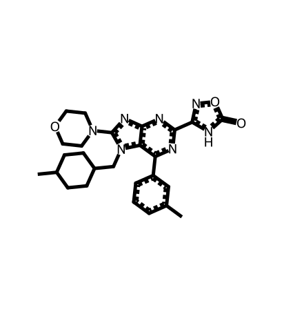 Cc1cccc(-c2nc(-c3noc(=O)[nH]3)nc3nc(N4CCOCC4)n(CC4CCC(C)CC4)c23)c1